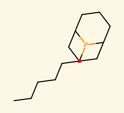 CCCCCCP1C2CCCC1CCC2